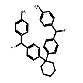 CCCC(c1ccc(N)cc1)c1ccc(C2(c3ccc(C(CCC)c4ccc(N)cc4)cc3)CCCCC2)cc1